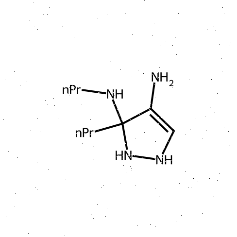 CCCNC1(CCC)NNC=C1N